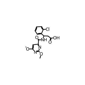 COc1cc(C(=O)NC(CC(=O)O)c2ccccc2Cl)nc(OC)n1